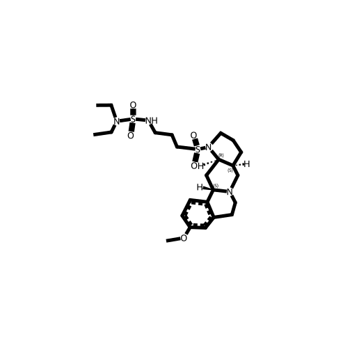 CCN(CC)S(=O)(=O)NCCCS(=O)(=O)N1CCC[C@H]2CN3CCc4cc(OC)ccc4[C@@H]3C[C@H]21